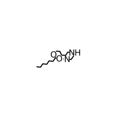 CCCCCCC(=O)OC(CC)C1CNCC[N]1